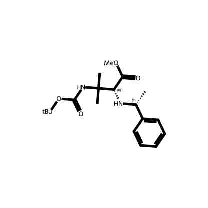 COC(=O)[C@H](N[C@H](C)c1ccccc1)C(C)(C)NC(=O)OC(C)(C)C